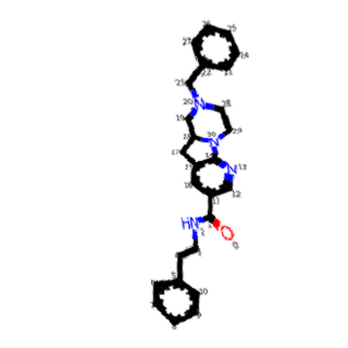 O=C(NCCc1ccccc1)c1cnc2c(c1)CC1CN(Cc3ccccc3)CCN21